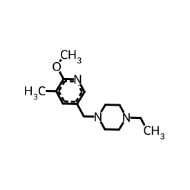 CCN1CCN(Cc2cnc(OC)c(C)c2)CC1